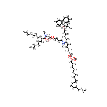 CCCCC/C=C\C/C=C\CCCCCCCC(=O)OCCCCCC(CCCCCO[Si](c1ccccc1)(c1ccccc1)C(C)(C)C)N(C)CCCCOC(=O)CN(C)C(=O)C(CCCCCC)CCCCCCCC